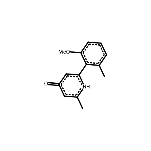 COc1cccc(C)c1-c1cc(=O)cc(C)[nH]1